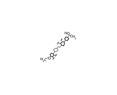 CCOc1ccc(C2CCC(CCc3ccc(-c4ccc(C(C)O)cc4)c(F)c3F)CC2)c(F)c1F